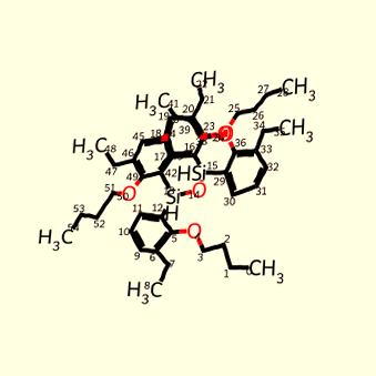 CCCCOc1c(CC)cccc1[SiH](O[SiH](c1cccc(CC)c1OCCCC)c1cccc(CC)c1OCCCC)c1cccc(CC)c1OCCCC